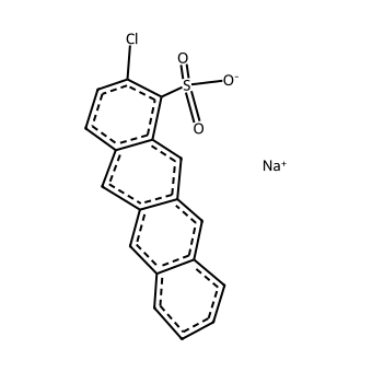 O=S(=O)([O-])c1c(Cl)ccc2cc3cc4ccccc4cc3cc12.[Na+]